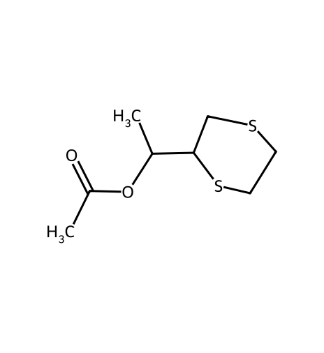 CC(=O)OC(C)C1CSCCS1